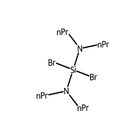 CCCN(CCC)[Si](Br)(Br)N(CCC)CCC